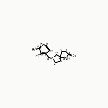 O=C1CCC2(CCN(Cc3ccnc(Br)c3F)C2)N1